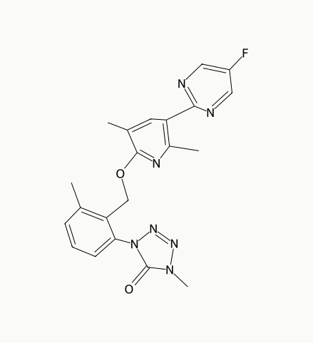 Cc1cc(-c2ncc(F)cn2)c(C)nc1OCc1c(C)cccc1-n1nnn(C)c1=O